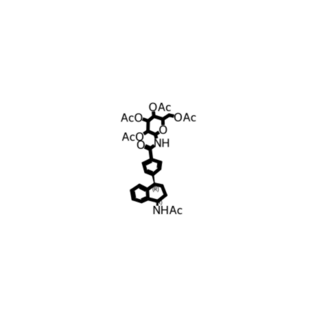 CC(=O)N[C@@H]1CC[C@H](c2ccc(C(=O)NC3OC(COC(C)=O)C(OC(C)=O)C(OC(C)=O)C3OC(C)=O)cc2)c2ccccc21